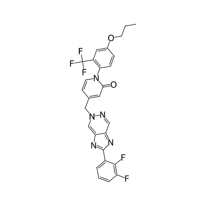 CCCOc1ccc(-n2ccc(Cn3cc4nc(-c5cccc(F)c5F)nc-4cn3)cc2=O)c(C(F)(F)F)c1